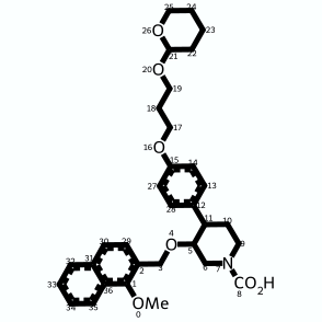 COc1c(COC2CN(C(=O)O)CCC2c2ccc(OCCCOC3CCCCO3)cc2)ccc2ccccc12